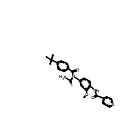 COc1cc(N(C(=O)c2ccc(C(C)(C)C)cc2)C(N)=S)ccc1NC(=O)c1ccncc1